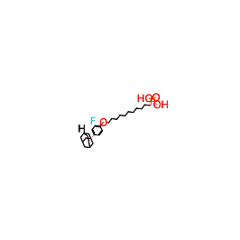 O=P(O)(O)CCCCCCCCCCCOc1ccc([C@]23CC4CC(C[C@H](C4)C2)C3)cc1F